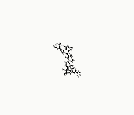 Cc1cc(-n2nc3c(c2-n2ccn(-c4cc(P(C)(C)=O)c5[nH]cnc5c4)c2=O)C(C)N(C(=O)c2cc4cc(C5CCOCC5)ccc4n2C2(c4noc(=O)[nH]4)CC2C)CC3)cc(C)c1F